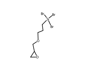 Br[Si](Br)(Br)CCCOCC1CO1